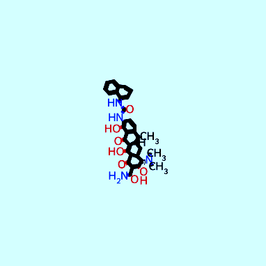 C[C@H]1c2ccc(NC(=O)Nc3cccc4ccccc34)c(O)c2C(=O)C2=C(O)C3C(=O)C(C(N)=O)=C(O)[C@@H](N(C)C)C3C[C@@H]21